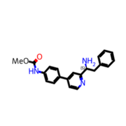 COC(=O)Nc1ccc(-c2ccnc([C@@H](N)Cc3ccccc3)c2)cc1